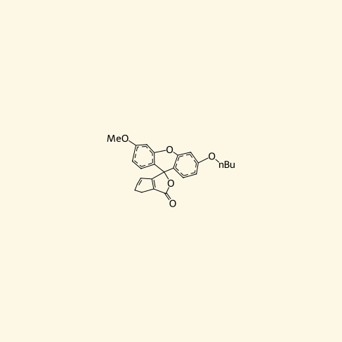 CCCCOc1ccc2c(c1)Oc1cc(OC)ccc1C21OC(=O)C2=C1C=CCC2